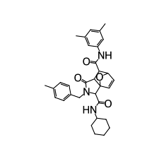 Cc1ccc(CN2C(=O)C3C(C(=O)Nc4cc(C)cc(C)c4)C4C=CC3(O4)C2C(=O)NC2CCCCC2)cc1